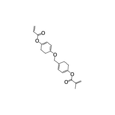 C=CC(=O)OC1=CC=C(OCC2=CC=C(OC(=O)C(=C)C)CC2)CC1